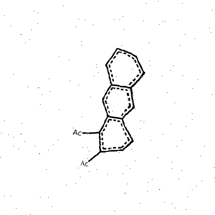 CC(=O)c1ccc2cc3ccccc3cc2c1C(C)=O